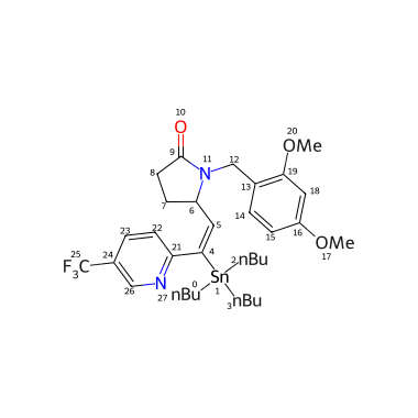 CCC[CH2][Sn]([CH2]CCC)([CH2]CCC)/[C](=C/C1CCC(=O)N1Cc1ccc(OC)cc1OC)c1ccc(C(F)(F)F)cn1